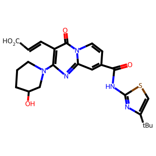 CC(C)(C)c1csc(NC(=O)c2ccn3c(=O)c(/C=C/C(=O)O)c(N4CCCC(O)C4)nc3c2)n1